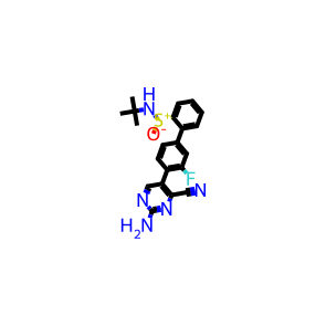 CC(C)(C)N[S+]([O-])c1ccccc1-c1ccc(-c2cnc(N)nc2C#N)c(F)c1